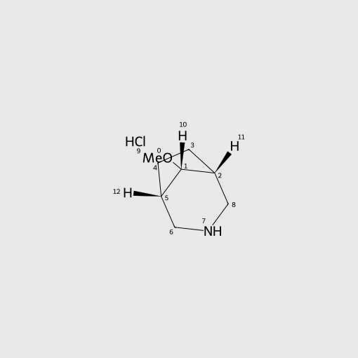 CO[C@@H]1[C@@H]2CC[C@H]1CNC2.Cl